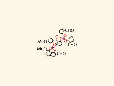 COc1ccc(C(=O)c2ccccc2OP(Oc2ccccc2C=O)Oc2ccccc2C=O)c(OP(Oc2ccccc2C=O)Oc2ccccc2OC)c1